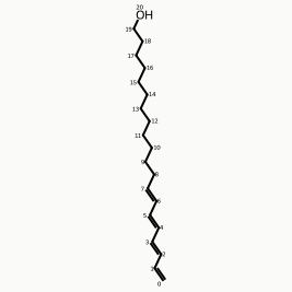 C=CC=CC=CC=CCCCCCCCCCCCCO